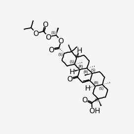 CC(C)OC(=O)O[C@@H](C)OC(=O)[C@H]1CC[C@]2(C)[C@H]3C(=O)C=C4[C@@H]5C[C@@](C)(C(=O)O)CC[C@]5(C)CC[C@@]4(C)[C@]3(C)CC[C@H]2C1(C)C